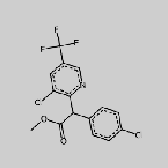 COC(=O)C(c1ccc(Cl)cc1)c1ncc(C(F)(F)F)cc1Cl